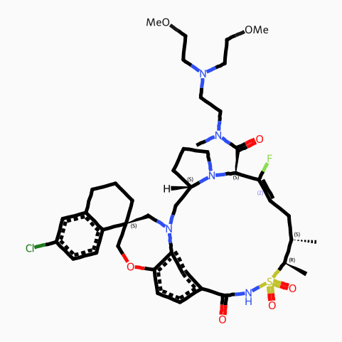 COCCN(CCOC)CCN(C)C(=O)[C@H]1/C(F)=C/C[C@H](C)[C@@H](C)S(=O)(=O)NC(=O)c2ccc3c(c2)N(C[C@@H]2CCCN21)C[C@@]1(CCCc2cc(Cl)ccc21)CO3